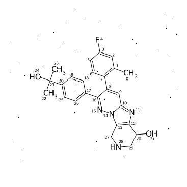 Cc1cc(F)ccc1-c1cc2nc3c(n2nc1-c1ccc(C(C)(C)O)cc1)CNCC3O